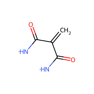 C=C(C([NH])=O)C([NH])=O